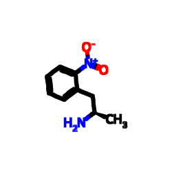 C[C@@H](N)Cc1ccccc1[N+](=O)[O-]